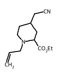 C=CCN1CCC(CC#N)CC1C(=O)OCC